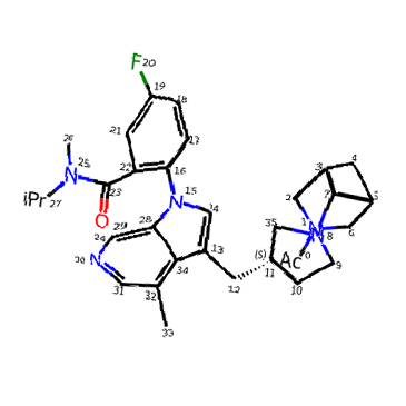 CC(=O)N1CC2CC(C1)C2N1CC[C@H](Cc2cn(-c3ccc(F)cc3C(=O)N(C)C(C)C)c3cncc(C)c23)C1